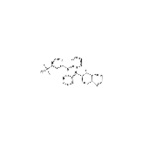 CC1C(c2c3ccccc3c(-c3cccc(P(C)(C)=O)c3)c3ccccc23)C=CC2C=CC=CC21